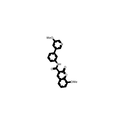 COc1cncc(-c2cccc(NC(=O)c3cc4cccc(OC)c4oc3=O)c2)c1